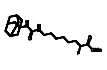 COC(=O)C(F)CCCCCCNC(=O)NC12CC3CC(CC(C3)C1)C2